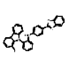 Fc1cccc2c3ccccc3n(-c3ccccc3Nc3ccc(-c4nc5ccccc5o4)cc3)c12